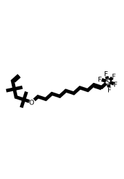 C=CC(C)(C)CC(C)(C)OCCCCCCCC/C=C/S(F)(F)(F)(F)F